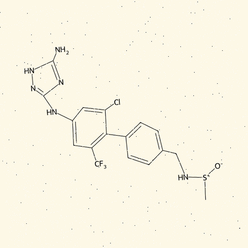 C[S+]([O-])NCc1ccc(-c2c(Cl)cc(Nc3n[nH]c(N)n3)cc2C(F)(F)F)cc1